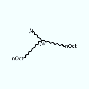 CCCCCCCCC=CCCCCCCCCC(CCCCCCCCC=CCCCCCCCC)(CCCCCN(C)C)N(C)C